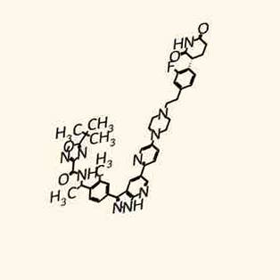 Cc1cc(-c2n[nH]c3ncc(-c4ccc(N5CCN(CCc6ccc([C@H]7CCC(=O)NC7=O)c(F)c6)CC5)cn4)cc23)ccc1[C@@H](C)NC(=O)c1noc(C(C)(C)C)n1